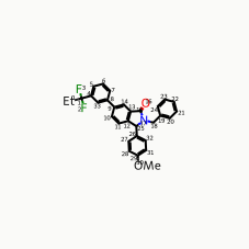 CCC(F)(F)c1cccc(-c2ccc3c(c2)C(=O)N(Cc2ccccc2)C3c2ccc(OC)cc2)c1